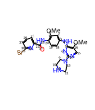 COc1cc(Nc2nc(N3CCNCC3)ncc2OC)ccc1NC(=O)c1cccc(Br)n1